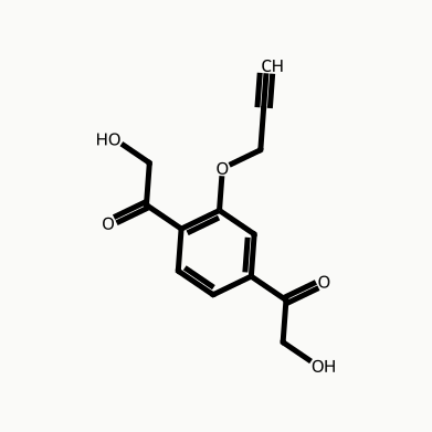 C#CCOc1cc(C(=O)CO)ccc1C(=O)CO